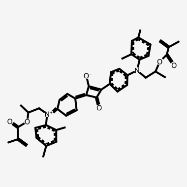 C=C(C)C(=O)OC(C)CN(c1ccc(C2=C([O-])C(=C3C=CC(=[N+](CC(C)OC(=O)C(=C)C)c4ccc(C)cc4C)C=C3)C2=O)cc1)c1ccc(C)cc1C